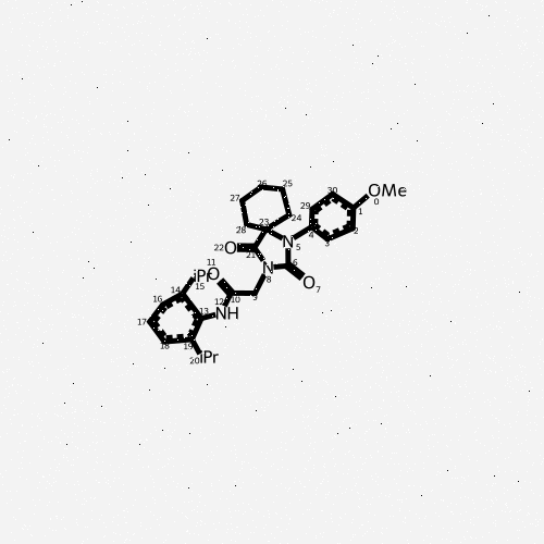 COc1ccc(N2C(=O)N(CC(=O)Nc3c(C(C)C)cccc3C(C)C)C(=O)C23CCCCC3)cc1